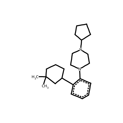 CC1(C)CCCC(c2ccccc2N2CCN(C3CCCC3)CC2)C1